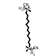 C[N+](C)([BH2-]C#N)CCCCCCCCCCCC[N+](C)(C)[BH2-]C#N